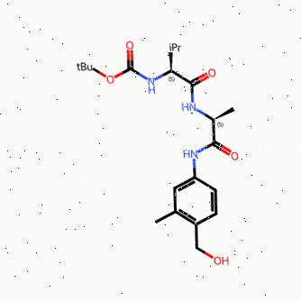 Cc1cc(NC(=O)[C@H](C)NC(=O)[C@@H](NC(=O)OC(C)(C)C)C(C)C)ccc1CO